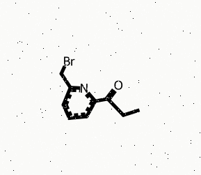 CCC(=O)c1cccc(CBr)n1